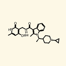 COc1cc(C)[nH]c(=O)c1CNC(=O)c1c(C)n([C@H](C)C2CCN(C3CC3)CC2)c2ccccc12